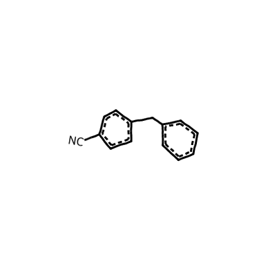 N#Cc1ccc(Cc2ccccc2)cc1